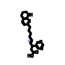 O=C(O)CC(/C=C/CCCCc1ccc2c(n1)NCCC2)c1cncnc1